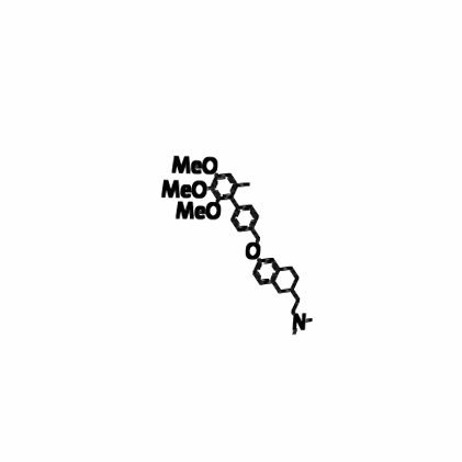 COc1cc(C)c(-c2ccc(COc3ccc4c(c3)CCC(CCN(C)C)C4)cc2)c(OC)c1OC